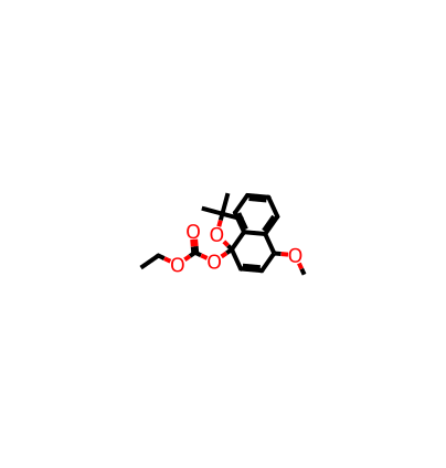 CCOC(=O)OC1(OC(C)(C)C)C=CC(OC)c2ccccc21